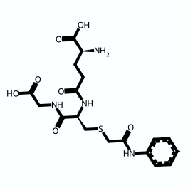 N[C@@H](CCC(=O)N[C@@H](CSCC(=O)Nc1cc[c]cc1)C(=O)NCC(=O)O)C(=O)O